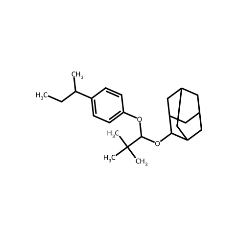 CCC(C)c1ccc(OC(OC2C3CC4CC(C3)CC2C4)C(C)(C)C)cc1